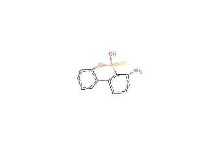 Nc1cccc2c1P(O)(=S)Oc1ccccc1-2